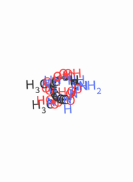 CN(O)C(=O)CC(=O)N1CCCCN(C(=O)CC(=O)N(C)O)CCCNC(=O)c2ccc(n(O)c2=O)C(=O)N[C@@H](CCCCN)CNC(=O)c2ccc(c(=O)n2O)C(=O)NCCC1